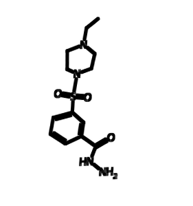 CCN1CCN(S(=O)(=O)c2cccc(C(=O)NN)c2)CC1